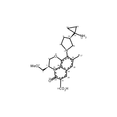 COC[C@H]1COc2c(N3CC[C@@H](C4(N)CC4)C3)c(F)cc3cc(C(=O)O)c(=O)n1c23